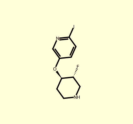 F[C@@H]1CNCC[C@H]1Oc1ccc(I)nc1